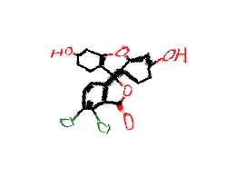 O=C1OC2(C3=CCC(O)C=C3OC3=C2CCC(O)=C3)c2ccc(Cl)c(Cl)c21